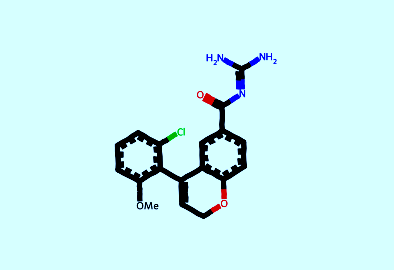 COc1cccc(Cl)c1C1=CCOc2ccc(C(=O)N=C(N)N)cc21